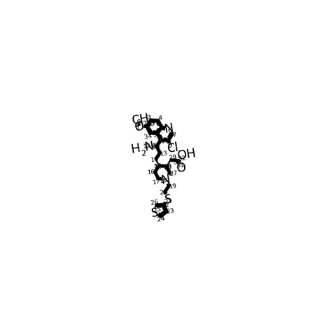 COc1ccc2ncc(Cl)c([C@@H](N)CC[C@@H]3CCN(CCSc4ccsc4)C[C@@H]3CC(=O)O)c2c1